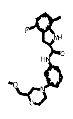 COCC1CN(c2cccc(NC(=O)C3Cc4c(F)ccc(C)c4N3)c2)CCO1